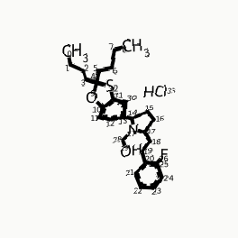 CCCCC1(CCCC)Oc2ccc(C3CCC(CCc4ccccc4F)N3CO)cc2S1.Cl